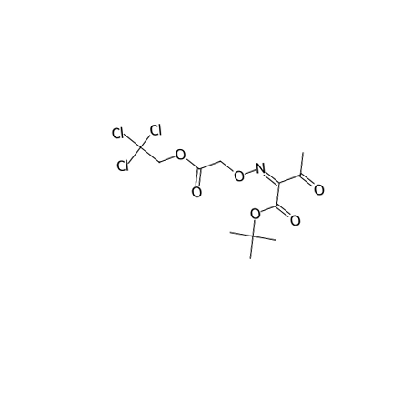 CC(=O)C(=NOCC(=O)OCC(Cl)(Cl)Cl)C(=O)OC(C)(C)C